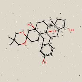 CC1(C)COC2(CC[C@@]34Cc5cc(O)ccc5C5C[C@]6(C)[C@@H](O)CC[C@H]6[C@H](CC[C@@]3(O)C2)[C@]54O)OC1